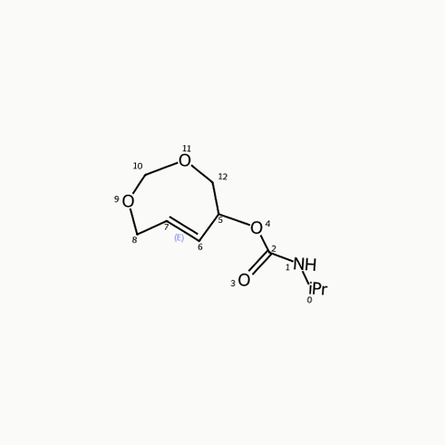 CC(C)NC(=O)OC1/C=C/COCOC1